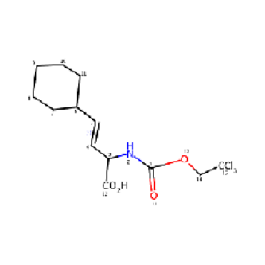 O=C(NC(/C=C/C1CCCCC1)C(=O)O)OCC(Cl)(Cl)Cl